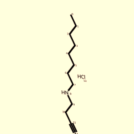 CCCCCCCCNCCC#N.Cl